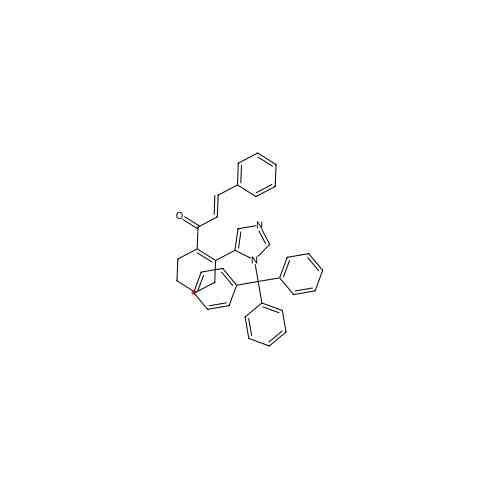 O=C(C=Cc1ccccc1)C1=C(c2cncn2C(c2ccccc2)(c2ccccc2)c2ccccc2)CCCC1